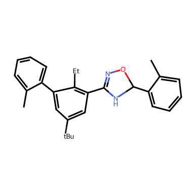 CCc1c(C2=NOC(c3ccccc3C)N2)cc(C(C)(C)C)cc1-c1ccccc1C